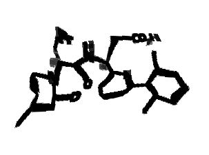 Cc1ccn([C@H](CC(C)C)C(=O)N[C@@H](CC(=O)O)c2cccc(-c3c(C)cccc3C)n2)c(=O)c1